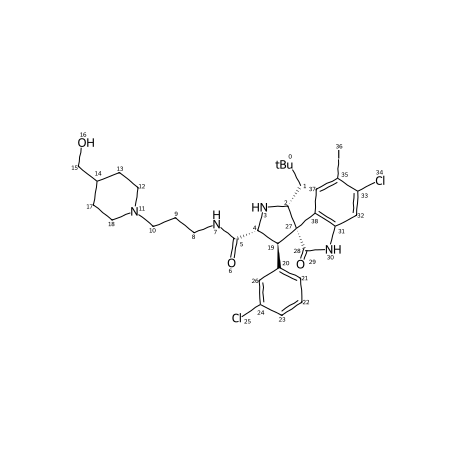 CC(C)(C)C[C@H]1N[C@@H](C(=O)NCCCN2CCC(CO)CC2)[C@H](c2cccc(Cl)c2)[C@@]12C(=O)Nc1cc(Cl)c(I)cc12